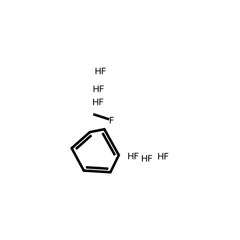 CF.F.F.F.F.F.F.c1ccccc1